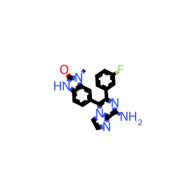 Cn1c(=O)[nH]c2ccc(-c3c(-c4cccc(F)c4)nc(N)c4nccn34)cc21